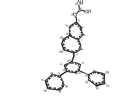 OB(O)Oc1ccc2cc(-c3cc(-c4ccccc4)cc(-c4ccccc4)c3)ccc2c1